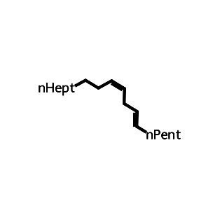 [CH2]CCCCCCCC/C=C\CC=CCCCCC